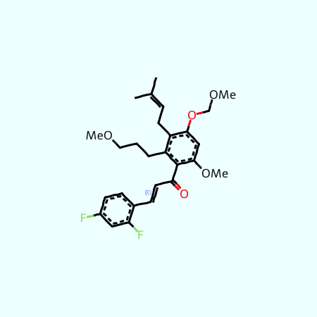 COCCCc1c(CC=C(C)C)c(OCOC)cc(OC)c1C(=O)/C=C/c1ccc(F)cc1F